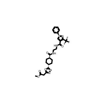 COC(=O)Cc1nnc([C@H]2CC[C@H](C(=O)NCCNC(=O)c3cn(-c4ccccc4)nc3C(F)(F)F)CC2)o1